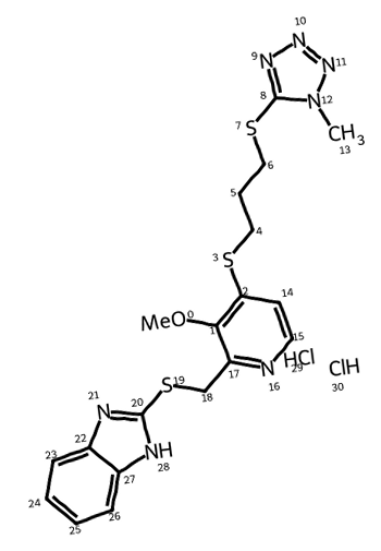 COc1c(SCCCSc2nnnn2C)ccnc1CSc1nc2ccccc2[nH]1.Cl.Cl